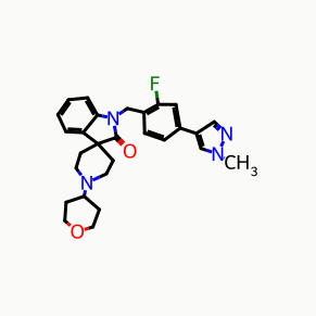 Cn1cc(-c2ccc(CN3C(=O)C4(CCN(C5CCOCC5)CC4)c4ccccc43)c(F)c2)cn1